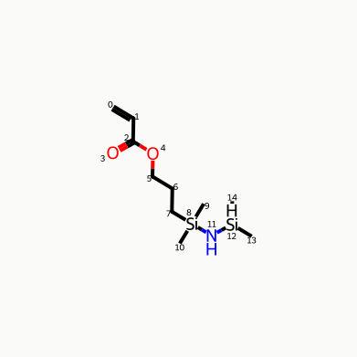 C=CC(=O)OCCC[Si](C)(C)N[SiH](C)C